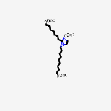 CCCCCCCCCCCCCCCCCCCN1C=CN(CCCCCCCC)C1CCCCCCCCCCCCCCCCC